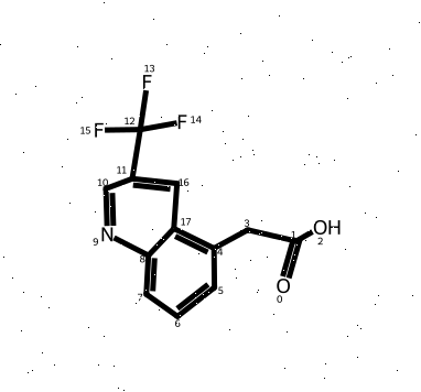 O=C(O)Cc1cccc2ncc(C(F)(F)F)cc12